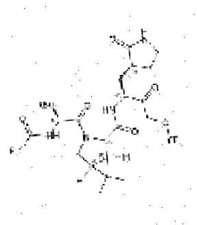 CC(C)(C)[C@H](NC(=O)C(F)(F)F)C(=O)N1C[C@H]2[C@@H]([C@H]1C(=O)N[C@@H](C[C@@H]1CCNC1=O)C(=O)COC(F)(F)F)C2(C)C